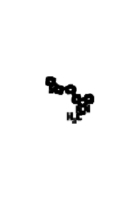 Cc1cnc2c3ccccc3c3cc(-c4cccc(-c5ccc6sc7ccccc7c6c5)c4)ccc3c2n1